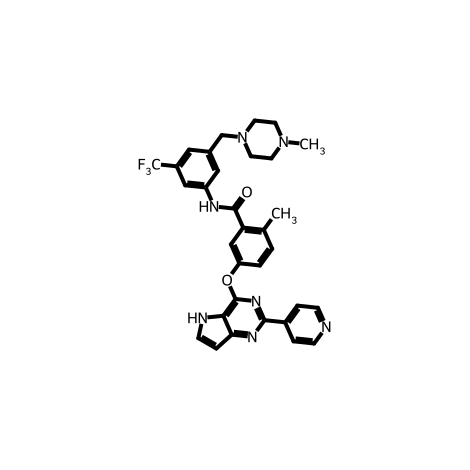 Cc1ccc(Oc2nc(-c3ccncc3)nc3cc[nH]c23)cc1C(=O)Nc1cc(CN2CCN(C)CC2)cc(C(F)(F)F)c1